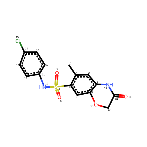 Cc1cc2c(cc1S(=O)(=O)Nc1ccc(Cl)cc1)OCC(=O)N2